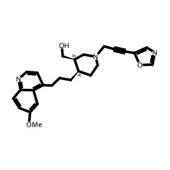 COc1ccc2nccc(CCC[C@@H]3CCN(CC#Cc4cnco4)C[C@@H]3CO)c2c1